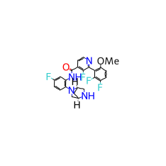 COc1ccc(F)c(F)c1-c1nccc(C(=O)Nc2cc(F)ccc2N2C[C@H]3C[C@@H]2CN3)c1F